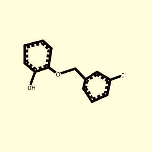 Oc1ccccc1OCc1cccc(Cl)c1